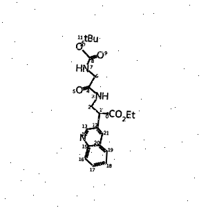 CCOC(=O)[C@H](CNC(=O)CNC(=O)OC(C)(C)C)c1cnc2ccccc2c1